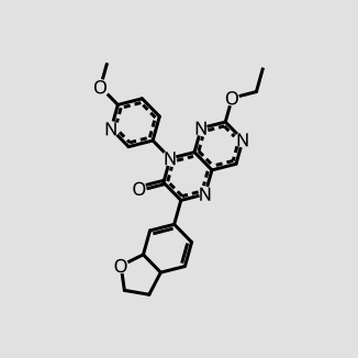 CCOc1ncc2nc(C3=CC4OCCC4C=C3)c(=O)n(-c3ccc(OC)nc3)c2n1